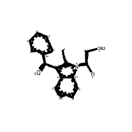 CCC(CC=O)n1c(C)c(C(=O)c2ccccc2)c2ccccc21